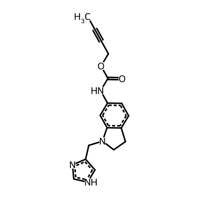 CC#CCOC(=O)Nc1ccc2c(c1)N(Cc1c[nH]cn1)CC2